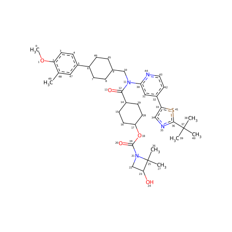 COc1ccc(C2CCC(CN(C(=O)C3CCC(OC(=O)N4CC(O)C4(C)C)CC3)c3cc(-c4cnc(C(C)(C)C)s4)ccn3)CC2)cc1C